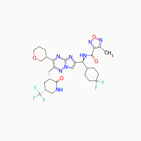 Cc1nonc1C(=O)N[C@H](c1cn2nc(C[C@H]3C[C@@H](C(F)(F)F)CNC3=O)c(C3CCCOC3)nc2n1)C1CCC(F)(F)CC1